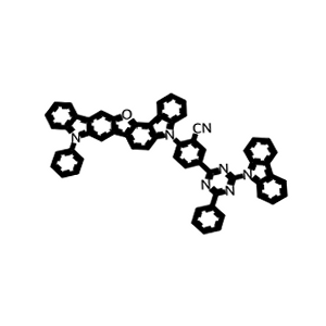 N#Cc1cc(-c2nc(-c3ccccc3)nc(-n3c4ccccc4c4ccccc43)n2)ccc1-n1c2ccccc2c2c3oc4cc5c6ccccc6n(-c6ccccc6)c5cc4c3ccc21